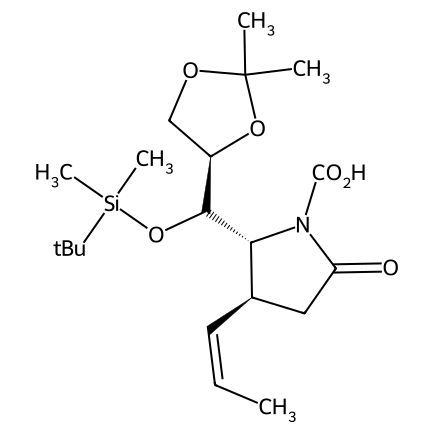 C/C=C\[C@@H]1CC(=O)N(C(=O)O)[C@H]1C(O[Si](C)(C)C(C)(C)C)[C@H]1COC(C)(C)O1